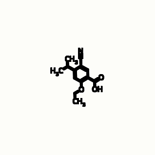 CCOc1cc(C(C)C)c(C#N)cc1C(=O)O